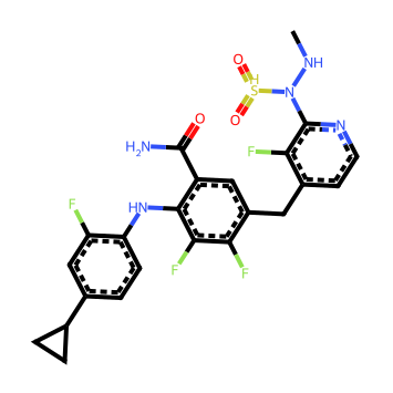 CNN(c1nccc(Cc2cc(C(N)=O)c(Nc3ccc(C4CC4)cc3F)c(F)c2F)c1F)[SH](=O)=O